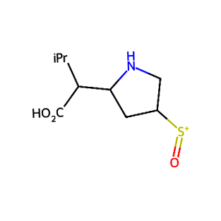 CC(C)C(C(=O)O)C1CC([S+]=O)CN1